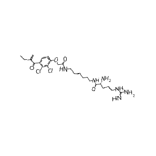 C=C(CC)C(=O)c1ccc(OCC(=O)NCCCCCCNC(=O)C(N)CCCNC(=N)N)c(Cl)c1Cl